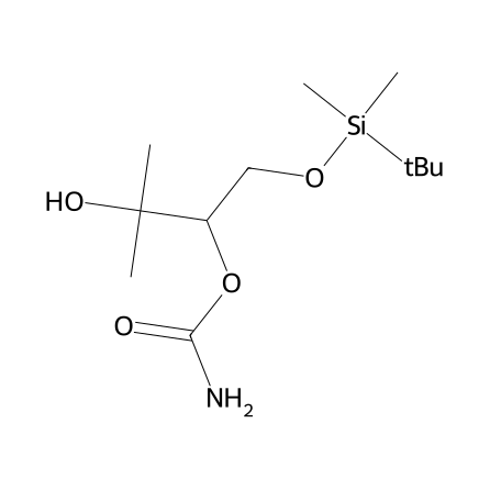 CC(C)(O)C(CO[Si](C)(C)C(C)(C)C)OC(N)=O